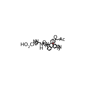 CC(=O)CCC(=O)N1CCC(c2nn(CC(=O)NCc3cn(CC(=O)O)nn3)c3cccc(-c4cc5c(cnn5C)cc4F)c23)CC1